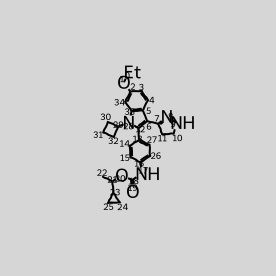 CCOc1ccc2c(C3=NNCC3)c(-c3ccc(NC(=O)OC(C)C4CC4)cc3)n(C3CCC3)c2c1